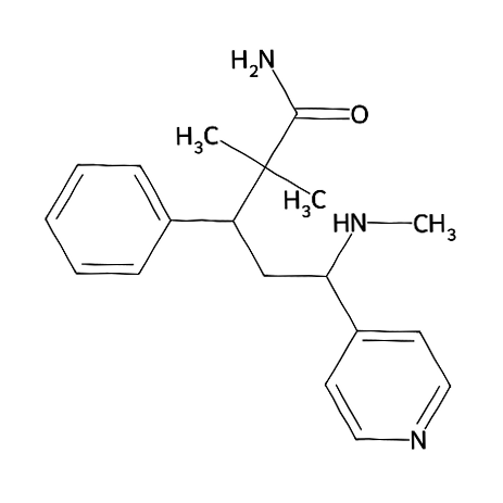 CNC(CC(c1ccccc1)C(C)(C)C(N)=O)c1ccncc1